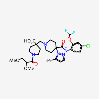 COCC(OC)C(=O)N1CCC(CN2CCC(C(=O)Nc3ccc(Cl)cc3OC(F)F)(n3nccc3C(C)C)CC2)(C(=O)O)CC1